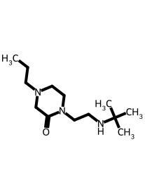 CCCN1CCN(CCNC(C)(C)C)C(=O)C1